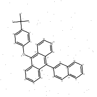 CC(C)(C)c1ccc(Oc2c3ccccc3c(-c3ccc4ccccc4c3)c3cnccc23)cc1